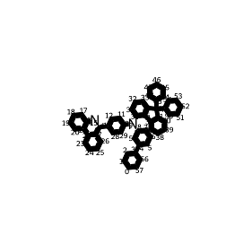 c1ccc(-c2cccc(N(c3ccc(-c4nc5ccccc5c5ccccc45)cc3)c3cccc4c3-c3ccccc3C4(c3ccccc3)c3ccccc3)c2)cc1